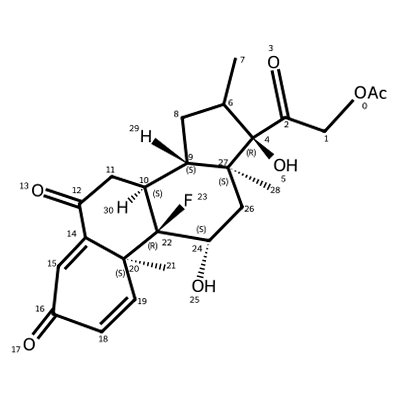 CC(=O)OCC(=O)[C@@]1(O)C(C)C[C@H]2[C@@H]3CC(=O)C4=CC(=O)C=C[C@]4(C)[C@@]3(F)[C@@H](O)C[C@@]21C